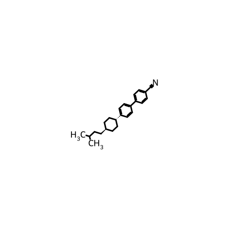 CC(C)CC[C@H]1CC[C@H](c2ccc(-c3ccc(C#N)cc3)cc2)CC1